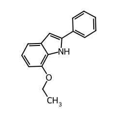 CCOc1cccc2cc(-c3ccccc3)[nH]c12